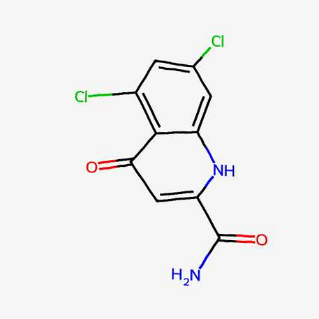 NC(=O)c1cc(=O)c2c(Cl)cc(Cl)cc2[nH]1